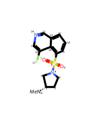 CN[C@H]1CCN(S(=O)(=O)c2cccc3cncc(F)c23)C1